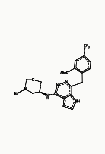 CCN1CCC[C@@H](Nc2nnc(Cc3ccc(C(F)(F)F)cc3OC)c3[nH]ccc23)C1